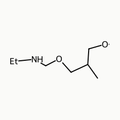 CCNCOCC(C)C[O]